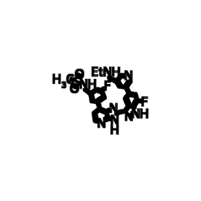 CCNCc1cncc(-c2cc(F)c3[nH]nc(-c4nc5c(-c6cc(F)cc(CNS(C)(=O)=O)c6)ccnc5[nH]4)c3c2)c1